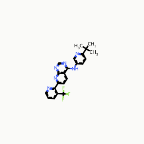 CC(C)(C)c1ccc(Nc2ncnc3nc(-c4ncccc4C(F)(F)F)ccc23)cn1